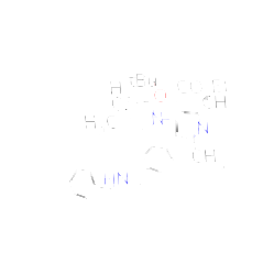 CCOC(=O)[C@@H](OC(C)(C)C)c1c(C)nc(C)c(-c2ccc(CNCc3ccccc3)cc2)c1N1CCC(C)(C)CC1